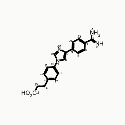 N=C(N)c1ccc(-c2cn(-c3ccc(CCC(=O)O)cc3)cn2)cc1